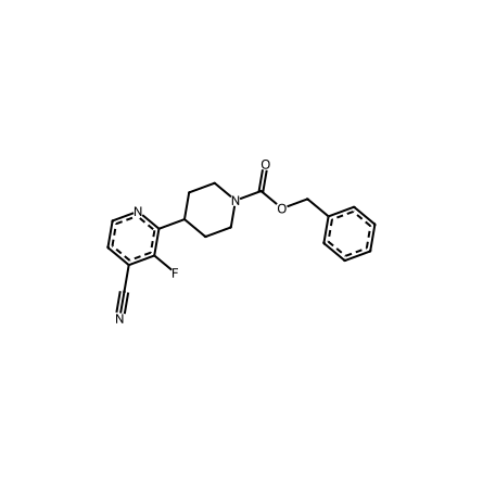 N#Cc1ccnc(C2CCN(C(=O)OCc3ccccc3)CC2)c1F